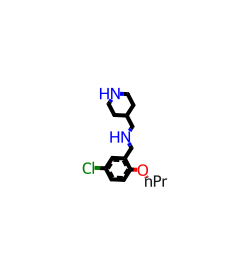 CCCOc1ccc(Cl)cc1CNCC1CCNCC1